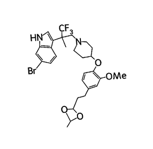 COc1cc(CCC2OC(C)O2)ccc1OC1CCN(CC(C)(c2c[nH]c3cc(Br)ccc23)C(F)(F)F)CC1